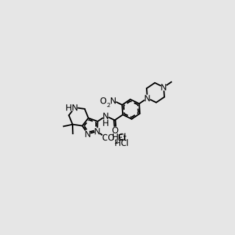 CCOC(=O)n1nc2c(c1NC(=O)c1ccc(N3CCN(C)CC3)cc1[N+](=O)[O-])CNCC2(C)C.Cl.Cl